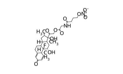 C[C@@H]1C[C@H]2[C@@H]3CCC4=CC(=O)C=C[C@]4(C)[C@@]3(F)[C@@H](O)C[C@]2(C)[C@@]1(O)C(=O)COC(=O)CNC(=O)CCCO[N+](=O)[O-]